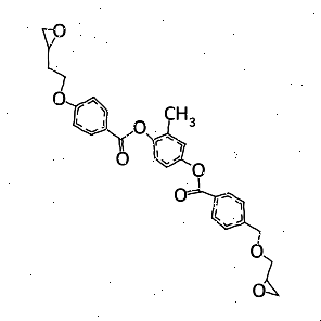 Cc1cc(OC(=O)c2ccc(COCC3CO3)cc2)ccc1OC(=O)c1ccc(OCCC2CO2)cc1